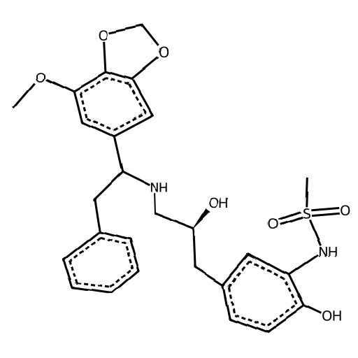 COc1cc(C(Cc2ccccc2)NC[C@@H](O)Cc2ccc(O)c(NS(C)(=O)=O)c2)cc2c1OCO2